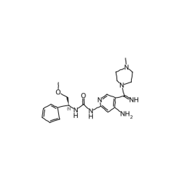 COC[C@@H](NC(=O)Nc1cc(N)c(C(=N)N2CCN(C)CC2)cn1)c1ccccc1